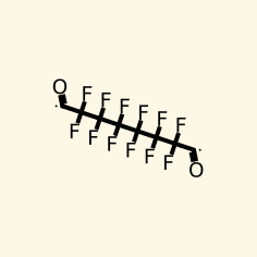 O=[C]C(F)(F)C(F)(F)C(F)(F)C(F)(F)C(F)(F)C(F)(F)[C]=O